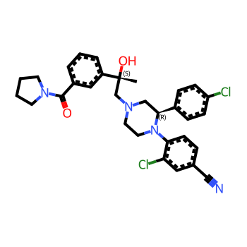 C[C@@](O)(CN1CCN(c2ccc(C#N)cc2Cl)[C@H](c2ccc(Cl)cc2)C1)c1cccc(C(=O)N2CCCC2)c1